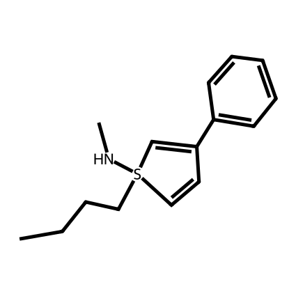 CCCCS1(NC)C=CC(c2ccccc2)=C1